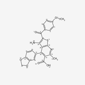 COc1ccc(C(=O)c2sc3nc(C)c(C(=O)O)c(-c4ccc5c(c4)OCO5)c3c2N)cc1